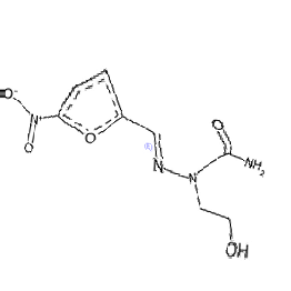 NC(=O)N(CCO)/N=C/c1ccc([N+](=O)[O-])o1